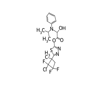 CC(C)N(c1ccccc1)C(O)C(=O)Oc1nnc(C2(C)CC(F)(F)C2(F)Cl)s1